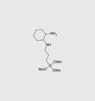 CO[Si](CCCNC1CCCCC1N)(OC)OC